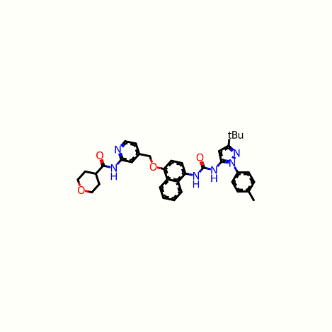 Cc1ccc(-n2nc(C(C)(C)C)cc2NC(=O)Nc2ccc(OCc3ccnc(NC(=O)C4CCOCC4)c3)c3ccccc23)cc1